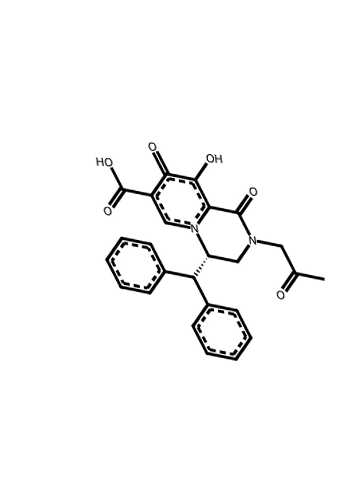 CC(=O)CN1C[C@H](C(c2ccccc2)c2ccccc2)n2cc(C(=O)O)c(=O)c(O)c2C1=O